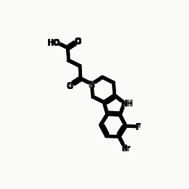 O=C(O)CCC(=O)N1CCc2[nH]c3c(F)c(Br)ccc3c2C1